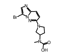 CN(C(=O)O)C1CCN(c2ccc3ncc(Br)n3n2)C1